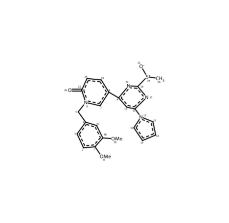 COc1ccc(Cn2cc(-c3cc(-n4cccc4)nc([S+](C)[O-])n3)ccc2=O)cc1OC